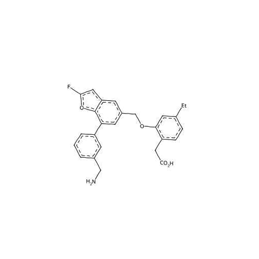 CCc1ccc(CC(=O)O)c(OCc2cc(-c3cccc(CN)c3)c3oc(F)cc3c2)c1